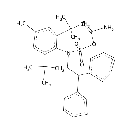 Cc1cc(C(C)(C)C)c(N(CC(c2ccccc2)c2ccccc2)S(=O)(=O)OC(N)=O)c(C(C)(C)C)c1